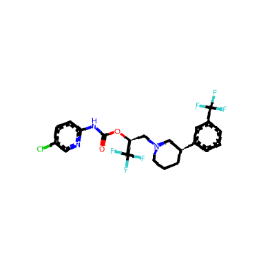 O=C(Nc1ccc(Cl)cn1)O[C@@H](CN1CCC[C@H](c2cccc(C(F)(F)F)c2)C1)C(F)(F)F